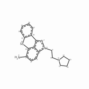 Nc1ccc2c3c(nn2CCN2CCCC2)-c2ccccc2[Se]c13